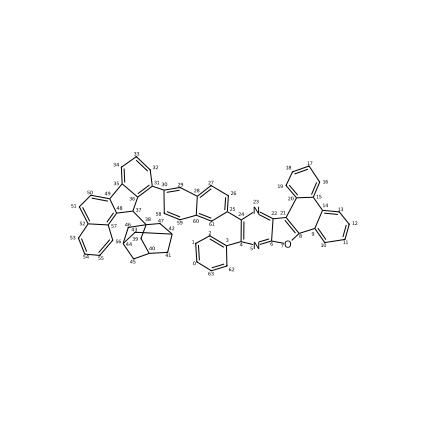 c1ccc(-c2nc3oc4c5ccccc5c5ccccc5c4c3nc2-c2ccc3cc(-c4cccc5c4C(C46CC7CC(CC(C7)C4)C6)c4c-5ccc5ccccc45)ccc3c2)cc1